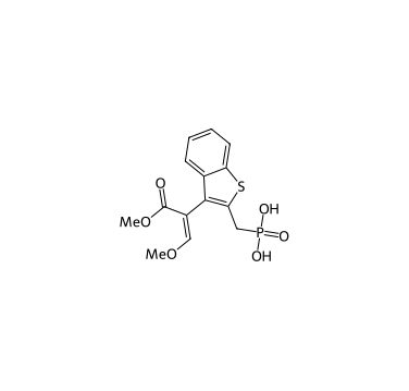 COC=C(C(=O)OC)c1c(CP(=O)(O)O)sc2ccccc12